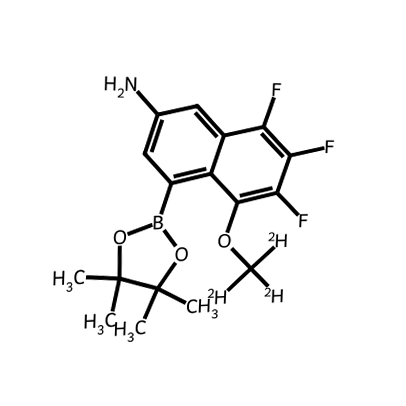 [2H]C([2H])([2H])Oc1c(F)c(F)c(F)c2cc(N)cc(B3OC(C)(C)C(C)(C)O3)c12